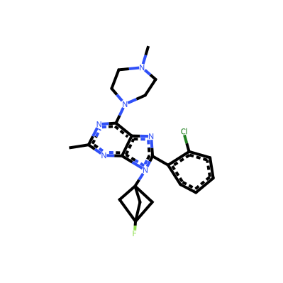 Cc1nc(N2CCN(C)CC2)c2nc(-c3ccccc3Cl)n(C34CC(F)(C3)C4)c2n1